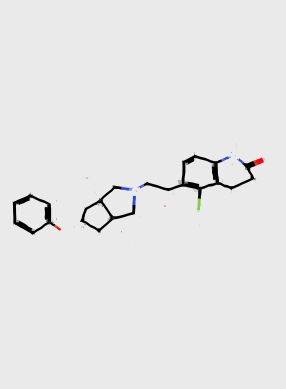 O=C1CCc2c(ccc([C@H](O)CN3C[C@H]4C[C@H](Oc5ccccc5)C[C@@]4(O)C3)c2F)N1